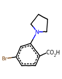 O=C(O)c1ccc(Br)cc1N1CCCC1